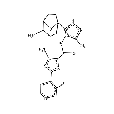 Cc1n[nH]c(C23CCC(N)C(CC2)O3)c1NC(=O)c1nc(-c2ccncc2F)sc1N